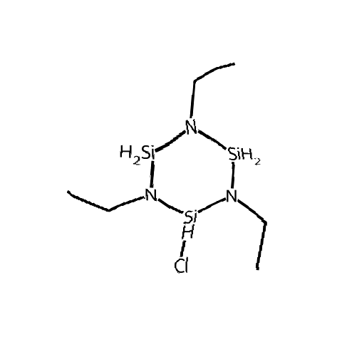 CCN1[SiH2]N(CC)[SiH](Cl)N(CC)[SiH2]1